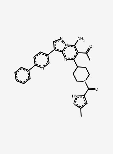 CC(=O)c1c(C2CCN(C(=O)c3cc(C)n[nH]3)CC2)nc2c(-c3ccc(-c4ccccc4)nc3)cnn2c1N